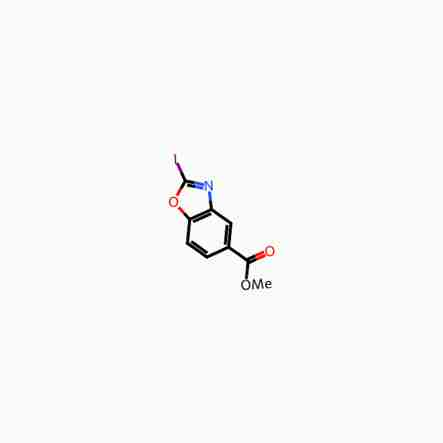 COC(=O)c1ccc2oc(I)nc2c1